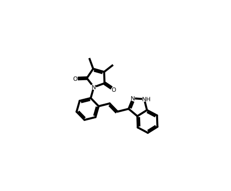 CC1=C(C)C(=O)N(c2ccccc2/C=C/c2n[nH]c3ccccc23)C1=O